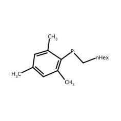 CCCCCCC[P]c1c(C)cc(C)cc1C